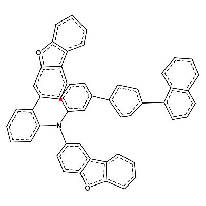 c1cc(-c2ccc(-c3cccc4ccccc34)cc2)cc(N(c2ccc3oc4ccccc4c3c2)c2ccccc2-c2ccc3c(c2)oc2ccccc23)c1